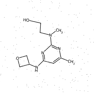 Cc1cc(NC2COC2)nc(N(C)CCO)n1